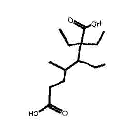 CCC(C(C)CCC(=O)O)C(CC)(CC)C(=O)O